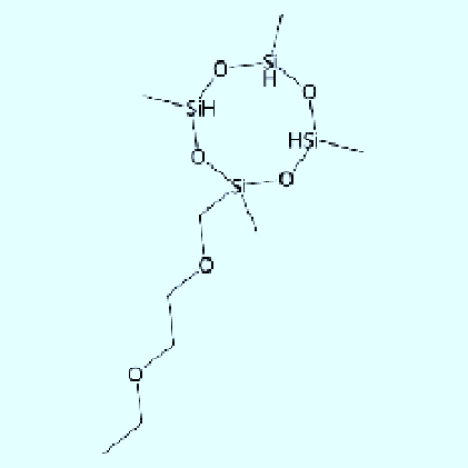 CCOCCOC[Si]1(C)O[SiH](C)O[SiH](C)O[SiH](C)O1